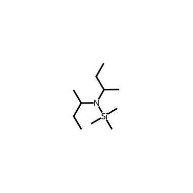 CCC(C)N(C(C)CC)[Si](C)(C)C